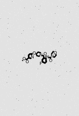 COC(=O)c1ccc(OC2CCN(C(=O)c3cc(F)ccc3NC(=O)N3CCOCC3)CC2)nc1